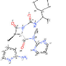 CCC(NC(=O)N1C(=O)[C@H](Cc2ccnc(N)c2)[C@H]1C(=O)N(CC)c1ncccn1)C1CCCCC1